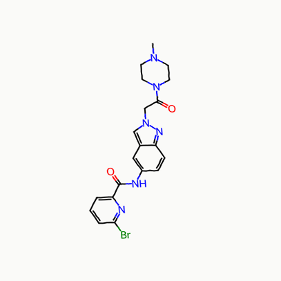 CN1CCN(C(=O)Cn2cc3cc(NC(=O)c4cccc(Br)n4)ccc3n2)CC1